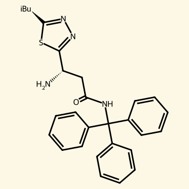 CC[C@H](C)c1nnc([C@@H](N)CC(=O)NC(c2ccccc2)(c2ccccc2)c2ccccc2)s1